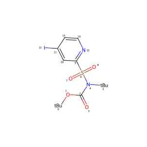 CC(C)(C)OC(=O)N(C(C)(C)C)S(=O)(=O)c1cc(I)ccn1